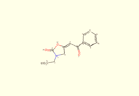 CCOC(=O)CN1CC(=CC(=O)c2ccccc2)OC1=O